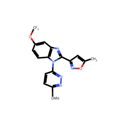 COc1ccc(-n2c(-c3cc(C)on3)nc3cc(OC(F)(F)F)ccc32)nn1